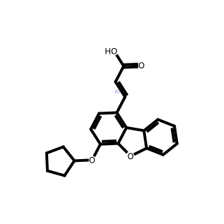 O=C(O)/C=C/c1ccc(OC2CCCC2)c2oc3ccccc3c12